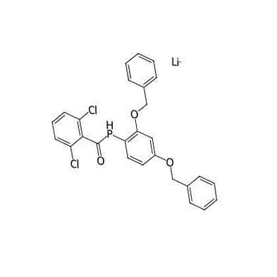 O=C(Pc1ccc(OCc2ccccc2)cc1OCc1ccccc1)c1c(Cl)cccc1Cl.[Li]